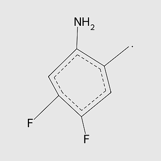 [CH2]c1cc(F)c(F)cc1N